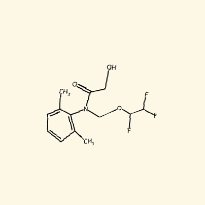 Cc1cccc(C)c1N(COC(F)C(F)F)C(=O)CO